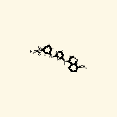 Cc1cccc2c(Nc3ccnc(Nc4cccc(S(C)(=O)=O)c4)n3)cnnc12